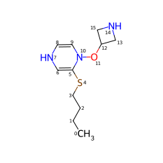 CCCCSC1=CNC=CN1OC1CNC1